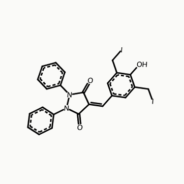 O=C1C(=Cc2cc(CI)c(O)c(CI)c2)C(=O)N(c2ccccc2)N1c1ccccc1